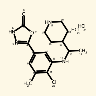 Cc1cc(-c2n[nH]c(=O)o2)cc(NC(C)C2CCNCC2)c1Cl.Cl.Cl